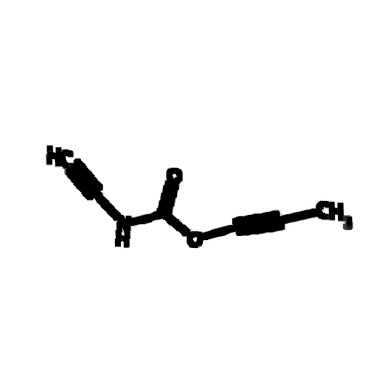 C#CNC(=O)OC#CC